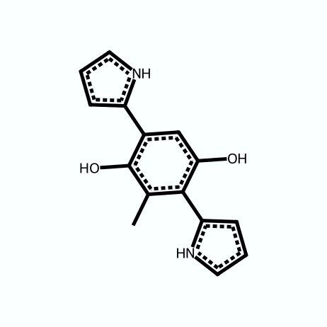 Cc1c(O)c(-c2ccc[nH]2)cc(O)c1-c1ccc[nH]1